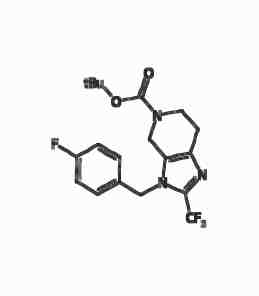 CC(C)(C)OC(=O)N1CCc2nc(C(F)(F)F)n(Cc3ccc(F)cc3)c2C1